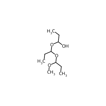 CCC(O)OC(CC)OC(CC)OC